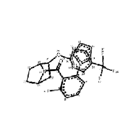 O=C(c1c(F)cccc1-n1nccn1)N1C2CCC1C(Oc1ncc(C(F)(F)F)cn1)C2